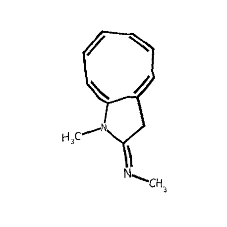 C/N=C1\CC2=C/C=C\C=C/C=C\2N1C